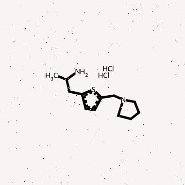 CC(N)Cc1ccc(CN2CCCC2)s1.Cl.Cl